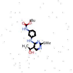 CSc1ncc(C(C)O)c(Nc2cccc(NC(=O)OC(C)(C)C)c2)n1